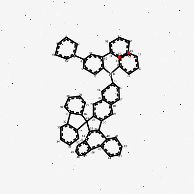 c1ccc(-c2ccc(N(c3ccccc3)c3ccc4cc5c(cc4c3)C3(c4ccccc4-c4ccccc43)c3c-5c4ccccc4c4ccccc34)c(-c3ccccc3)c2)cc1